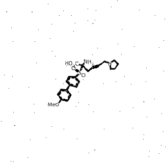 COc1ccc(-c2ccc(S(=O)(=O)C(N)(CC#CCN3CCCC3)C(=O)O)cc2)cc1